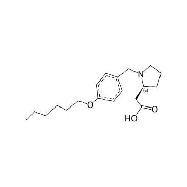 CCCCCCOc1ccc(CN2CCC[C@H]2CC(=O)O)cc1